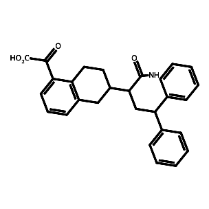 NC(=O)C(CC(c1ccccc1)c1ccccc1)C1CCc2c(cccc2C(=O)C(=O)O)C1